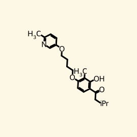 Cc1ccc(OCCCCOc2ccc(C(=O)CC(C)C)c(O)c2C)cn1